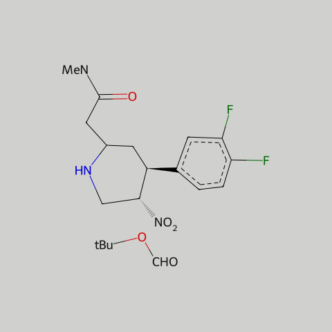 CC(C)(C)OC=O.CNC(=O)CC1C[C@@H](c2ccc(F)c(F)c2)[C@H]([N+](=O)[O-])CN1